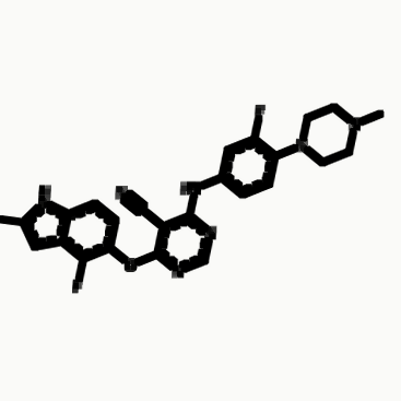 Cc1cc2c(F)c(Oc3ncnc(Nc4ccc(N5CCN(C)CC5)c(F)c4)c3C#N)ccc2[nH]1